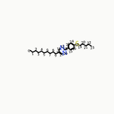 CCCCCCCCCCc1cnc(-c2ccc(SCCCCC)cc2)nc1